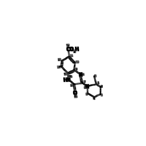 CC1CCCCN1c1nc2cc(C(=O)O)ccc2[nH]c1=O